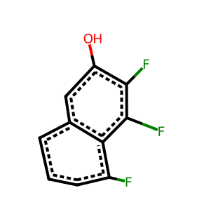 Oc1cc2cccc(F)c2c(F)c1F